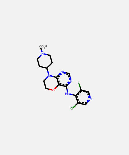 O=C(O)N1CCC(N2CCOc3c(Nc4c(Cl)cncc4Cl)ncnc32)CC1